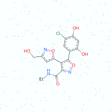 CCNC(=O)c1noc(-c2cc(Cl)c(O)cc2O)c1-c1cc(CO)no1